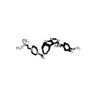 CN(C)CCN1CCN(C(=O)[C@H]2CCc3c(sc4ncnc(Nc5ccc6c(c5)sn6C)c34)C2)CC1